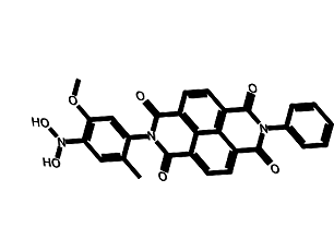 COc1cc(N2C(=O)c3ccc4c5c(ccc(c35)C2=O)C(=O)N(c2ccccc2)C4=O)c(C)cc1N(O)O